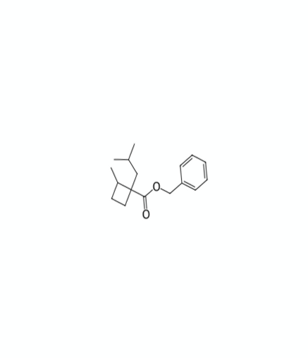 CC(C)CC1(C(=O)OCc2ccccc2)CCC1C